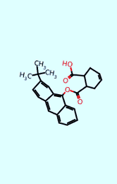 CC(C)(C)c1ccc2cc3ccccc3c(OC(=O)C3CC=CCC3C(=O)O)c2c1